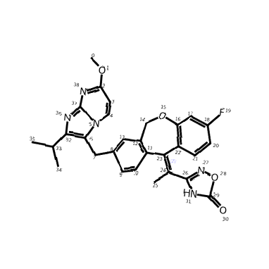 COc1ccn2c(Cc3ccc4c(c3)COc3cc(F)ccc3/C4=C(/C)c3noc(=O)[nH]3)c(C(C)C)nc2n1